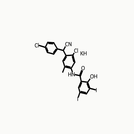 Cc1cc(C(C#N)c2ccc(Cl)cc2)c(Cl)cc1NC(=O)c1cc(I)cc(I)c1O.[KH]